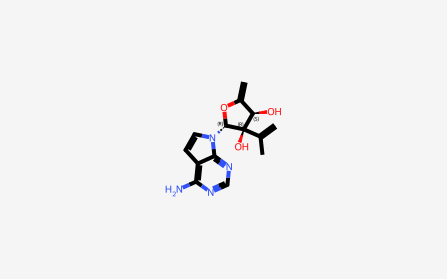 C=C1O[C@@H](n2ccc3c(N)ncnc32)[C@@](O)(C(=C)C)[C@@H]1O